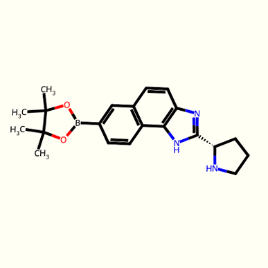 CC1(C)OB(c2ccc3c(ccc4nc([C@@H]5CCCN5)[nH]c43)c2)OC1(C)C